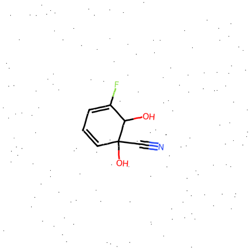 N#CC1(O)C=CC=C(F)C1O